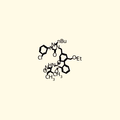 CCCCc1nn(-c2cccc(Cl)c2)c(=O)n1Cc1ccc(-c2ccccc2S(=O)(=O)Nc2noc(C)c2C)c(COCC)c1